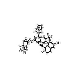 C#Cc1c(C)ccc2cc(O)cc(-c3c(C(F)(F)F)cc4c(N5CC6CCC(C5)N6)nc(OCC5(CN6C[C@H]7C[C@@H]6CO7)CC5)nc4c3F)c12